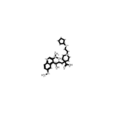 COc1ccc2ncc(N(C)C)c([C@H](O)CCC3(C(=O)O)CCN(CCSC4CCCC4)CC3)c2c1